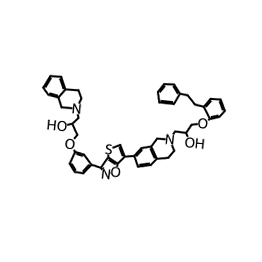 OC(COc1cccc(-c2noc3c(-c4ccc5c(c4)CN(CC(O)COc4ccccc4CCc4ccccc4)CC5)csc23)c1)CN1CCc2ccccc2C1